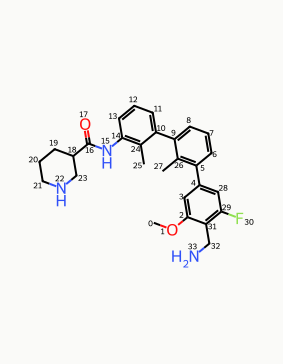 COc1cc(-c2cccc(-c3cccc(NC(=O)C4CCCNC4)c3C)c2C)cc(F)c1CN